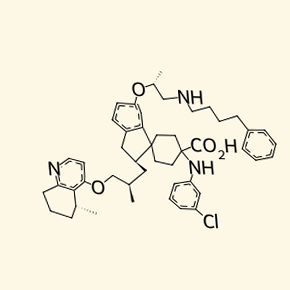 C[C@@H](COc1ccnc2c1[C@H](C)CCC2)C[C@H]1Cc2ccc(O[C@H](C)CNCCCCc3ccccc3)cc2C12CCC(Nc1cccc(Cl)c1)(C(=O)O)CC2